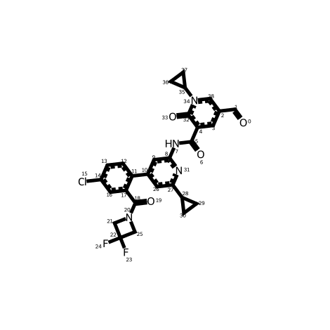 O=Cc1cc(C(=O)Nc2cc(-c3ccc(Cl)cc3C(=O)N3CC(F)(F)C3)cc(C3CC3)n2)c(=O)n(C2CC2)c1